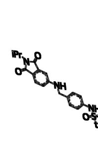 CC(C)N1C(=O)c2ccc(NCc3ccc(NS(=O)(=O)C(C)(C)C)cc3)cc2C1=O